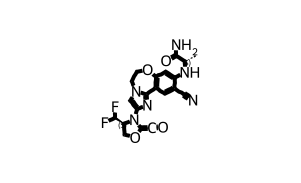 C[C@H](Nc1cc2c(cc1C#N)-c1nc(N3C(=C=O)OC[C@H]3C(F)F)cn1CCO2)C(N)=O